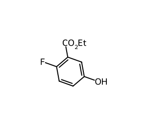 CCOC(=O)c1cc(O)ccc1F